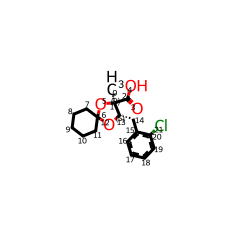 C[C@@]1(C(=O)O)OC2(CCCCC2)O[C@H]1Cc1ccccc1Cl